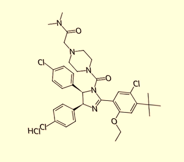 CCOc1cc(C(C)(C)C)c(Cl)cc1C1=N[C@@H](c2ccc(Cl)cc2)[C@@H](c2ccc(Cl)cc2)N1C(=O)N1CCN(CC(=O)N(C)C)CC1.Cl